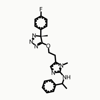 CC(Nc1ncc(CCOC2=NN=N[C@]2(C)c2ccc(F)cc2)n1C)c1ccccc1